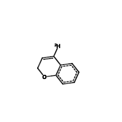 [2H]C1=CCOc2ccccc21